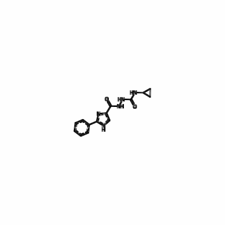 O=C(NNC(=O)c1c[nH]c(-c2ccccc2)n1)NC1CC1